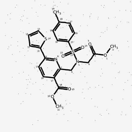 COC(=O)CN(Cc1nc(-c2cccs2)ccc1C(=O)OC)S(=O)(=O)c1ccc(C)cc1